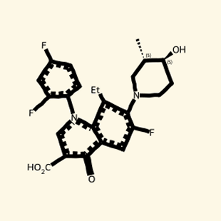 CCc1c(N2CC[C@H](O)[C@@H](C)C2)c(F)cc2c(=O)c(C(=O)O)cn(-c3ccc(F)cc3F)c12